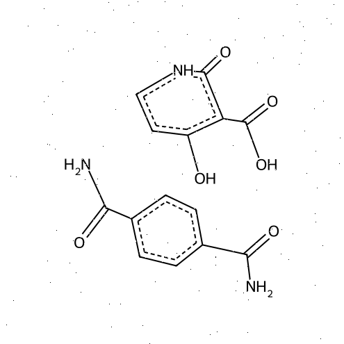 NC(=O)c1ccc(C(N)=O)cc1.O=C(O)c1c(O)cc[nH]c1=O